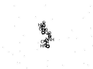 O=C1CCC(N2C(=O)c3cccc(OCC(=O)N4CCC(Nc5ncc(Cl)c(-c6c[nH]c7ccccc67)n5)C4)c3C2=O)C(=O)N1